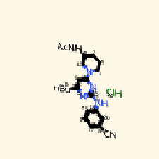 CCCCc1cc(N2CCCC(NC(C)=O)C2)nc(Nc2cccc(C#N)c2)n1.Cl